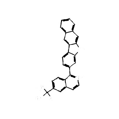 BC(C)(C)c1ccc2c(-c3ccc4c(c3)oc3cc5ccccc5cc34)nccc2c1